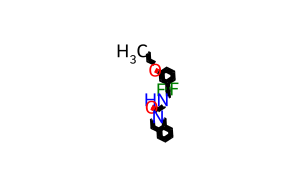 CCCCOc1cccc(C(F)(F)CNCC(=O)N2CCc3ccccc3C2)c1